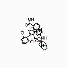 O=C(O)c1ccc2nc(NC(=O)N3C4CCC3CC(OCc3c(-c5c(Cl)cccc5Cl)noc3C3CC3)C4)sc2c1